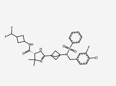 CC1(C)N=C(C23CC(N(Cc4ccc(Cl)c(F)c4)S(=O)(=O)c4ccccc4)(C2)C3)N[C@H]1C(=O)NC1CC(C(F)F)C1